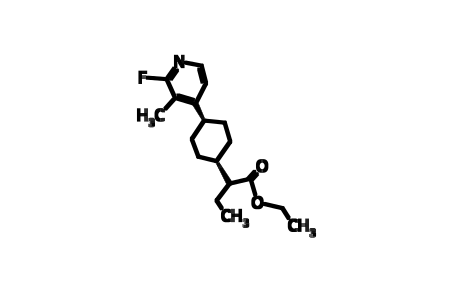 CCOC(=O)C(CC)[C@H]1CC[C@@H](c2ccnc(F)c2C)CC1